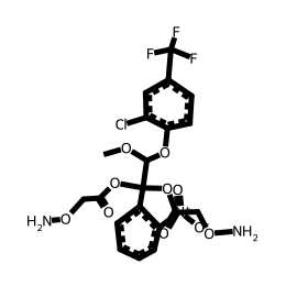 COC(Oc1ccc(C(F)(F)F)cc1Cl)C(OC(=O)CON)(OC(=O)CON)c1ccccc1[N+](=O)[O-]